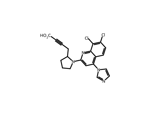 O=C(O)C#CCC1CCCN1c1cc(-n2ccnc2)c2ccc(Cl)c(Cl)c2n1